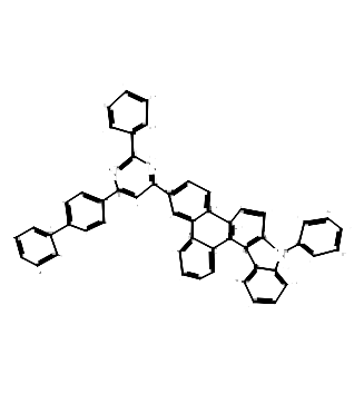 c1ccc(-c2ccc(-c3cc(-c4ccc5c(c4)c4ccccc4c4c5ccc5c4c4ccccc4n5-c4ccccc4)nc(-c4ccccc4)n3)cc2)cc1